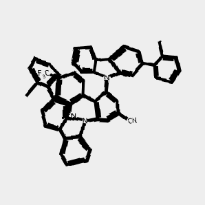 Cc1ccccc1-c1ccc2c3ccccc3n(-c3cc(C#N)cc(-n4c5ccccc5c5ccc(-c6ccccc6C)cc54)c3-c3ccc(C(F)(F)F)cc3C#N)c2c1